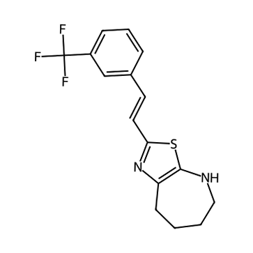 FC(F)(F)c1cccc(C=Cc2nc3c(s2)NCCCC3)c1